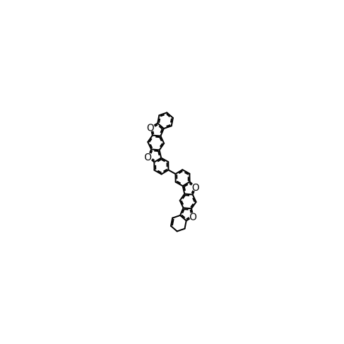 C1=Cc2c(oc3cc4oc5ccc(-c6ccc7oc8cc9oc%10ccccc%10c9cc8c7c6)cc5c4cc23)CC1